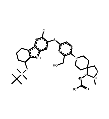 C[C@@H]1OCC2(CCN(c3ncc(Sc4cc5[nH]c6c(c5nc4Cl)CCCC6O[Si](C)(C)C(C)(C)C)nc3CO)CC2)[C@@H]1NC(=O)O